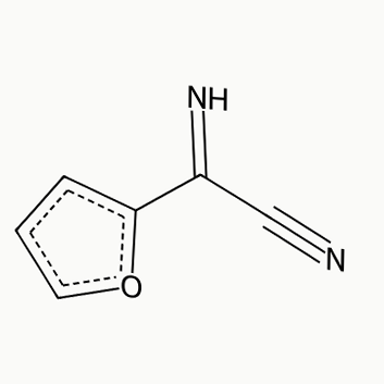 N#CC(=N)c1ccco1